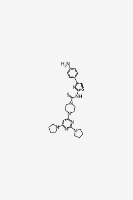 Nc1ccc(-c2csc(NC(=S)N3CCN(c4cc(N5CCCC5)nc(N5CCCC5)n4)CC3)n2)cc1